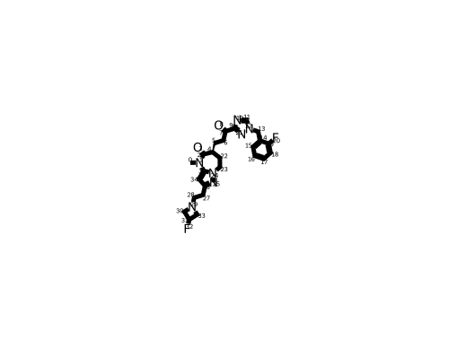 CN1C(=O)[C@@H](CCC(=O)c2ncn(Cc3ccccc3F)n2)CCn2nc(CCN3CC(F)C3)cc21